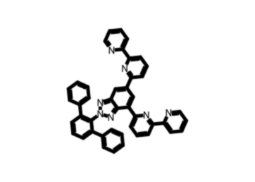 c1ccc(-c2cccc(-c3ccccc3)c2-n2nc3cc(-c4cccc(-c5ccccn5)n4)cc(-c4cccc(-c5ccccn5)n4)c3n2)cc1